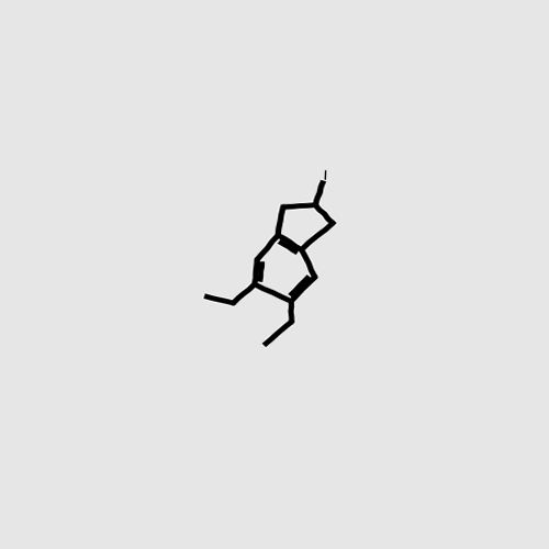 CCc1cc2c(cc1CC)CC(I)C2